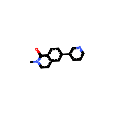 Cn1ccc2cc(-c3cccnc3)ccc2c1=O